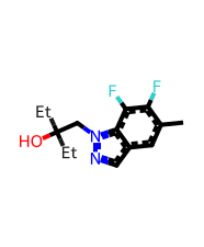 CCC(O)(CC)Cn1ncc2cc(C)c(F)c(F)c21